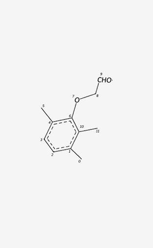 Cc1ccc(C)c(OC[C]=O)c1C